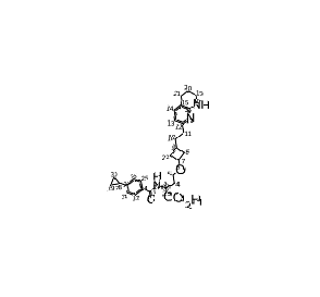 O=C(N[C@@H](CCOC1CC(CCc2ccc3c(n2)NCCC3)C1)C(=O)O)c1ccc(C2CC2)cc1